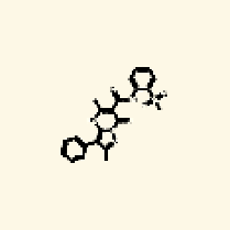 Cc1nn2c(=O)c(C(=O)Nc3ccccc3S(C)(=O)=O)c(C)[nH]c2c1-c1ccccc1